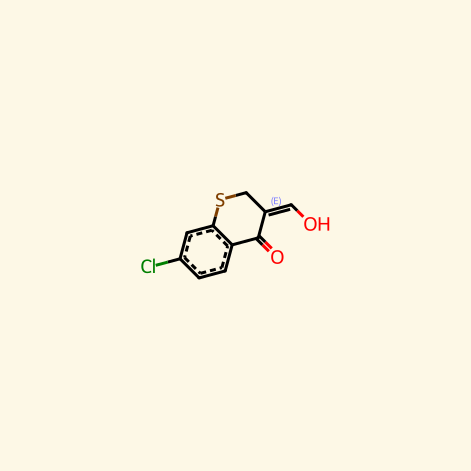 O=C1/C(=C\O)CSc2cc(Cl)ccc21